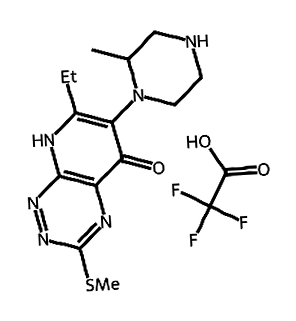 CCc1[nH]c2nnc(SC)nc2c(=O)c1N1CCNCC1C.O=C(O)C(F)(F)F